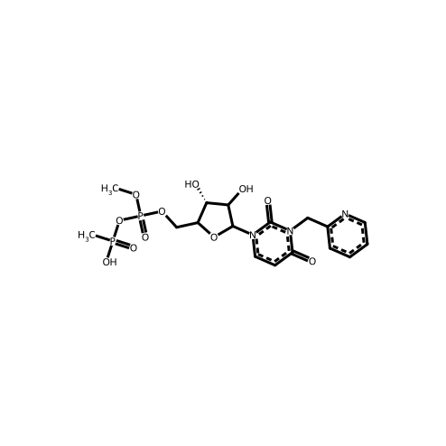 COP(=O)(OCC1OC(n2ccc(=O)n(Cc3ccccn3)c2=O)C(O)[C@H]1O)OP(C)(=O)O